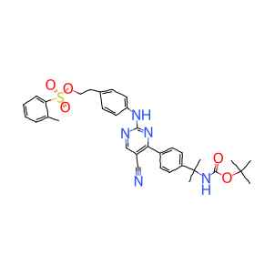 Cc1ccccc1S(=O)(=O)OCCc1ccc(Nc2ncc(C#N)c(-c3ccc(C(C)(C)NC(=O)OC(C)(C)C)cc3)n2)cc1